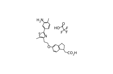 Cc1ccc(-c2nc(CCOc3ccc4c(c3)CCC4CC(=O)O)c(C)s2)cc1N.O=C(O)C(F)(F)F